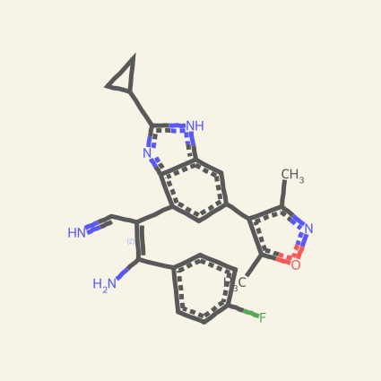 Cc1noc(C)c1-c1cc(/C(C=N)=C(/N)c2ccc(F)cc2)c2nc(C3CC3)[nH]c2c1